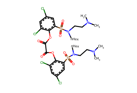 CCCCCCN(CCN(C)C)S(=O)(=O)c1cc(Cl)cc(Cl)c1OC(=O)C(=O)Oc1c(Cl)cc(Cl)cc1S(=O)(=O)N(CCCCCC)CCN(C)C